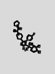 CC(C)(c1ccc(Cl)c(Cl)c1)c1cnc(C2CCN(C(=O)NN3CCCC3)CC2)n1-c1ccc(F)cc1